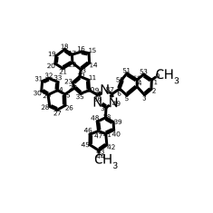 Cc1ccc2cc(-c3nc(-c4cc(-c5cccc6ccccc56)cc(-c5cccc6ccccc56)c4)nc(-c4ccc5cc(C)ccc5c4)n3)ccc2c1